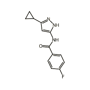 O=C(Nc1cc(C2CC2)n[nH]1)c1ccc(F)cc1